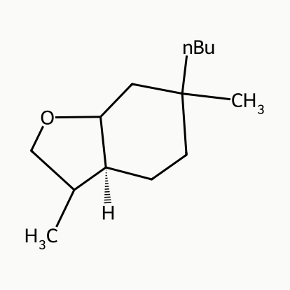 CCCCC1(C)CC[C@H]2C(C)COC2C1